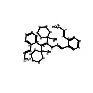 CC(C)(C)C1(C(OC=Cc2ccccc2C=CC(=O)O)=C(c2ccccc2C=CC(=O)O)C2(C(C)(C)C)CCCCC2)CCCCC1